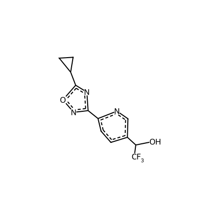 OC(c1ccc(-c2noc(C3CC3)n2)nc1)C(F)(F)F